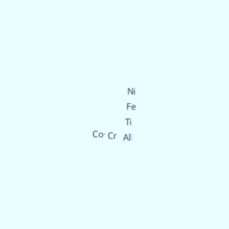 [Al].[Co].[Cr].[Fe].[Ni].[Ti]